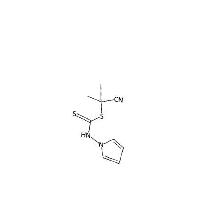 CC(C)(C#N)SC(=S)Nn1cccc1